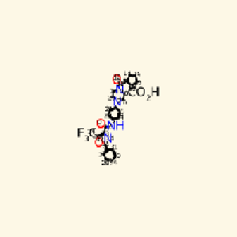 O=C(Nc1ccc(N2CCN(C(=O)[C@@H]3CCC[C@H]3C(=O)O)CC2)cc1)c1nc(-c2ccccc2)oc1C(F)(F)F